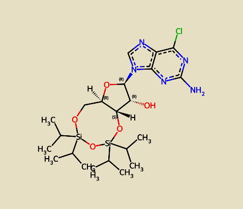 CC(C)[Si]1(C(C)C)OC[C@H]2O[C@@H](n3cnc4c(Cl)nc(N)nc43)[C@H](O)[C@@H]2O[Si](C(C)C)(C(C)C)O1